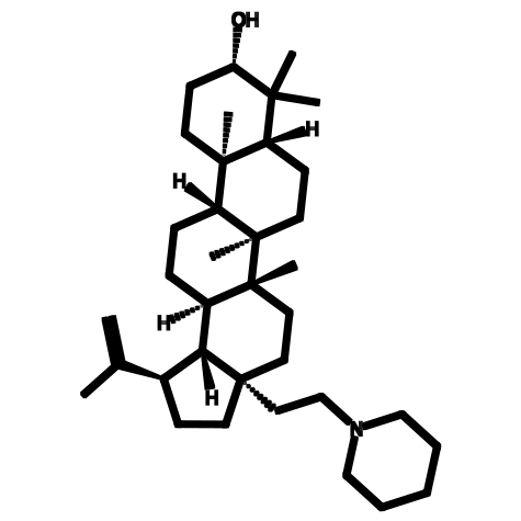 C=C(C)[C@@H]1CC[C@]2(CCN3CCCCC3)CC[C@]3(C)[C@H](CC[C@@H]4[C@@]5(C)CC[C@H](O)C(C)(C)[C@@H]5CC[C@]43C)[C@@H]12